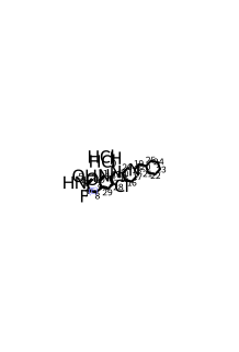 Cl.Cl.O=C(NO)/C(F)=C\c1cnc(N[C@@H]2CCCN(CC3CCCCC3)C2)c(Cl)c1